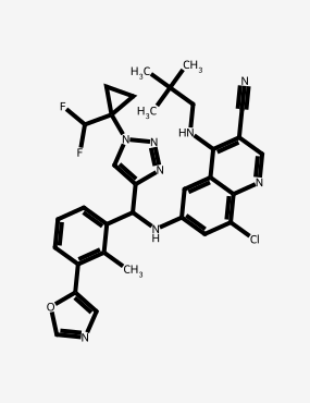 Cc1c(-c2cnco2)cccc1C(Nc1cc(Cl)c2ncc(C#N)c(NCC(C)(C)C)c2c1)c1cn(C2(C(F)F)CC2)nn1